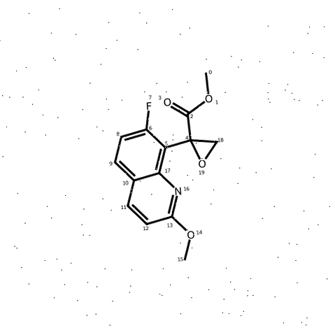 COC(=O)C1(c2c(F)ccc3ccc(OC)nc23)CO1